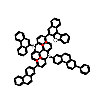 c1ccc(-c2ccc3c(ccc4cc(N(c5ccc(-c6ccc7c(ccc8ccccc87)c6)cc5)c5ccccc5-c5ccccc5N(c5ccc(-c6cc7ccccc7c7c6oc6ccccc67)cc5)c5cc6ccccc6c6ccccc56)ccc43)c2)cc1